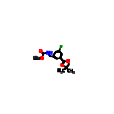 CC(C)(C)OC(=O)NCc1cc(F)cc(B2OCC(C)(C)O2)c1